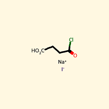 O=C(O)CCC(=O)Cl.[I-].[Na+]